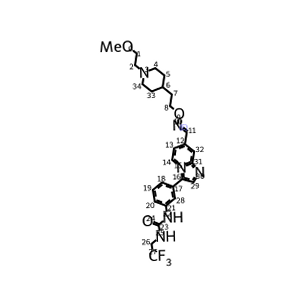 COCCN1CCC(CCO/N=C/c2ccn3c(-c4cccc(NC(=O)NCC(F)(F)F)c4)cnc3c2)CC1